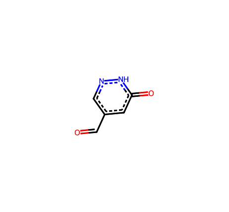 O=Cc1cn[nH]c(=O)c1